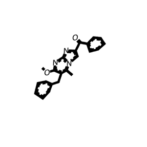 COc1nc2nc(C(=O)c3ccccc3)cn2c(C)c1Cc1ccccc1